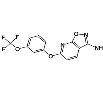 Nc1noc2nc(Oc3cccc(OC(F)(F)F)c3)ccc12